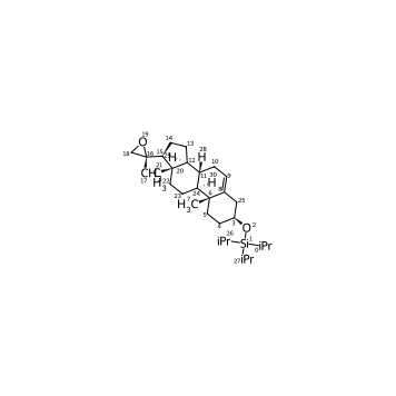 CC(C)[Si](O[C@H]1CC[C@@]2(C)C(=CC[C@H]3[C@@H]4CC[C@H]([C@]5(C)CO5)[C@@]4(C)CC[C@@H]32)C1)(C(C)C)C(C)C